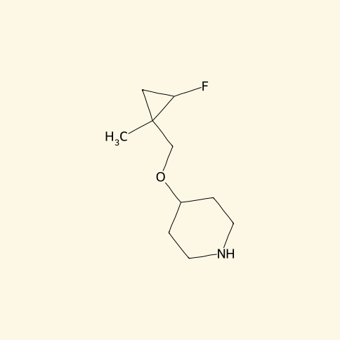 CC1(COC2CCNCC2)CC1F